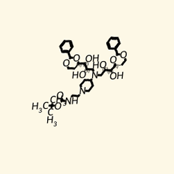 CC(C)(C)OC(=O)NCCN1CCC(N(C[C@H](O)[C@@H](O)[C@H]2CCOC(c3ccccc3)O2)C[C@H](O)[C@@H](O)[C@H]2CCOC(c3ccccc3)O2)CC1